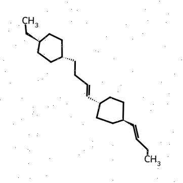 CCC=C[C@H]1CC[C@H](C=CCC[C@H]2CC[C@H](CC)CC2)CC1